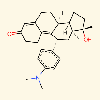 CN(C)c1ccc([C@H]2C[C@@]3(C)[C@H](CC[C@]3(C)O)[C@@H]3CCC4=CC(=O)CCC4=C32)cc1